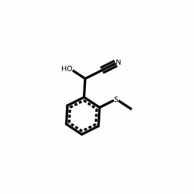 CSc1ccccc1C(O)C#N